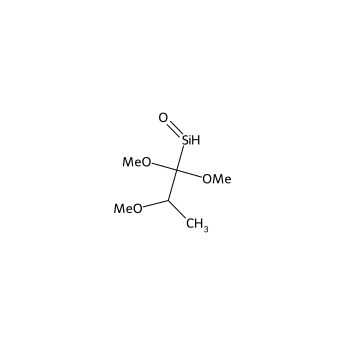 COC(C)C(OC)(OC)[SiH]=O